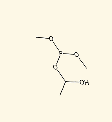 COP(OC)OC(C)O